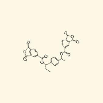 CCC(OC(=O)c1ccc2c(c1)C(=O)OC2=O)c1ccc(C(C)OC(=O)c2ccc3c(c2)C(=O)OC3=O)cc1